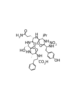 CC(C)[C@H](NC(=O)[C@H](Cc1ccc(O)cc1)N[N+](=O)[O-])C(=O)N[C@@H](CCC(N)=O)C(=O)N[C@@H](CO)C(=O)N[C@@H](C)C(=O)N[C@@H](Cc1ccccc1)C(=O)O